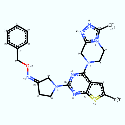 CCCc1cc2c(N3CCn4c(nnc4C(F)(F)F)C3)nc(N3CCC(=NOCc4ccccc4)C3)nc2s1